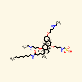 CCCCCCCCNC(=O)CC[C@@H](C)[C@H]1CC[C@H]2[C@@H]3[C@H](OCCCNCS(=O)(=O)O)C[C@@H]4CC(OCCCNCC)CC[C@]4(C)[C@H]3C[C@H](OCCCNCC)[C@]12C